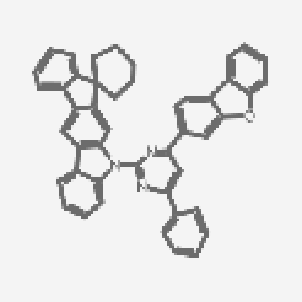 c1ccc(-c2cc(-c3ccc4c(c3)oc3ccccc34)nc(-n3c4ccccc4c4cc5c(cc43)C3(CCCCC3)c3ccccc3-5)n2)cc1